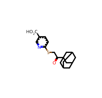 O=C(O)c1ccc(SCC(=O)C23CC4CC(CC(C4)C2)C3)nc1